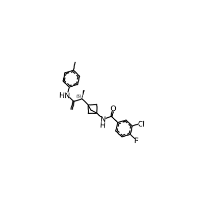 C=C(Nc1ccc(C)cc1)[C@@H](C)C12CC(NC(=O)c3ccc(F)c(Cl)c3)(C1)C2